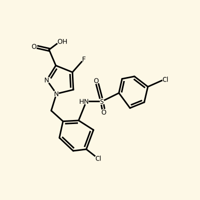 O=C(O)c1nn(Cc2ccc(Cl)cc2NS(=O)(=O)c2ccc(Cl)cc2)cc1F